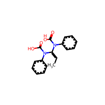 CC=C(N(C(=O)O)c1ccccc1)N(C(=O)O)c1ccccc1